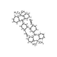 CC1(C)c2ccccc2N(c2ccc(C#N)c(-c3cc(N4c5ccccc5C(C)(C)c5ccccc54)ccc3C#N)c2)c2ccccc21